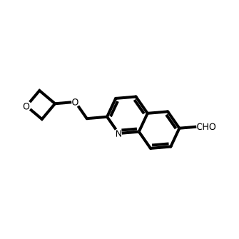 O=Cc1ccc2nc(COC3COC3)ccc2c1